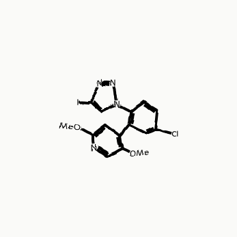 COc1cc(-c2cc(Cl)ccc2-n2cc(I)nn2)c(OC)cn1